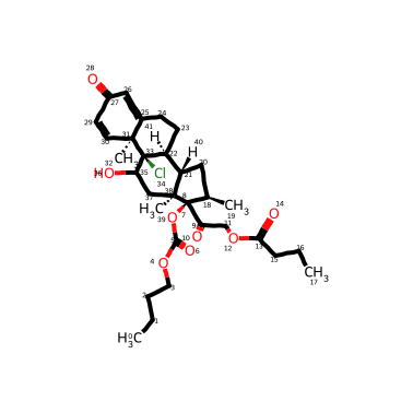 CCCCOC(=O)O[C@]1(C(=O)COC(=O)CCC)[C@H](C)C[C@H]2[C@@H]3CCC4=CC(=O)C=C[C@]4(C)[C@@]3(Cl)C(O)C[C@@]21C